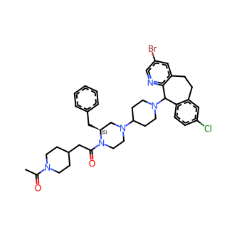 CC(=O)N1CCC(CC(=O)N2CCN(C3CCN(C4c5ccc(Cl)cc5CCc5cc(Br)cnc54)CC3)C[C@@H]2Cc2ccccc2)CC1